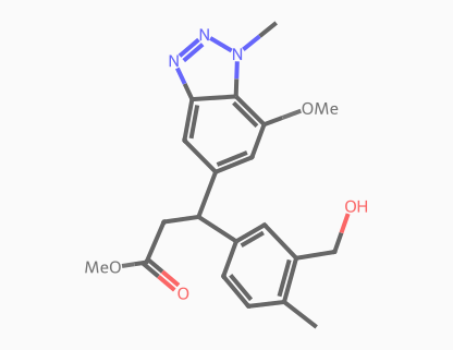 COC(=O)CC(c1ccc(C)c(CO)c1)c1cc(OC)c2c(c1)nnn2C